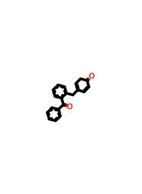 O=C1C=CC(Cc2ccccc2C(=O)c2ccccc2)=CC1